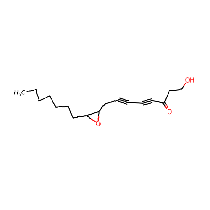 CCCCCCCC1OC1CC#CC#CC(=O)CCO